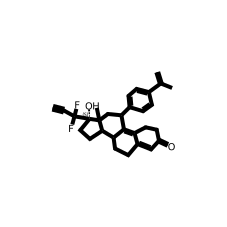 C#CC(F)(F)[C@]1(O)CCC2C3CCC4=CC(=O)CCC4=C3C(c3ccc(C(=C)C)cc3)CC21C